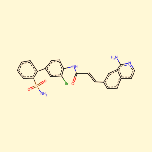 Nc1nccc2ccc(C=CC(=O)Nc3ccc(-c4ccccc4S(N)(=O)=O)cc3Br)cc12